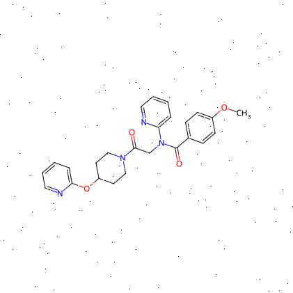 COc1ccc(C(=O)N(CC(=O)N2CCC(Oc3ccccn3)CC2)c2ccccn2)cc1